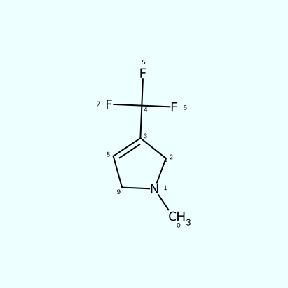 CN1[CH]C(C(F)(F)F)=CC1